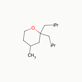 CC(C)CC1(CC(C)C)CC(C)CCO1